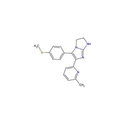 CSc1ccc(-c2c(-c3cccc(C)n3)nc3n2CCN3)cc1